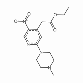 CCOC(=O)Cc1cc(N2CCN(C)CC2)ncc1[N+](=O)[O-]